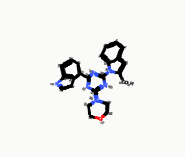 O=C(O)c1cc2ccccc2n1-c1nc(-c2cccc3c2C=C=N3)nc(N2CCOCC2)n1